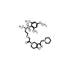 COc1cc(C)c(S(=O)(=O)N(C)CCOCC(=O)N2CCc3onc(CN4CCCCC4)c3C2)c(C)c1